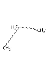 [CH2]CC#CCCCCCCCCCC(C)CCCCCCCCCCCCCC[CH2]